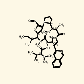 CC[C@H](C)C([C@H]1CC(N2CCC[C@H]2[C@H](OC)[C@@H](C)C(=O)NCCc2cc3ccccc3cn2)=C(N=O)O1)N(C)C(=O)[C@@H](NC(=O)[C@H](C(C)C)N(C)C)C(C)C